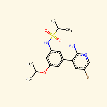 CC(C)Oc1cc(NS(=O)(=O)C(C)C)cc(-c2cc(Br)cnc2N)c1